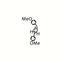 COc1ccc(CN2C[C@@H]3C(c4ccc(OC)cc4)[C@@H]3C2)cc1